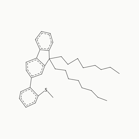 CCCCCCCCC1(CCCCCCCC)c2ccccc2-c2ccc(-c3ccccc3SC)cc21